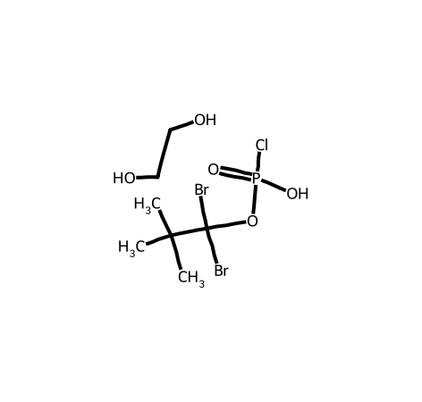 CC(C)(C)C(Br)(Br)OP(=O)(O)Cl.OCCO